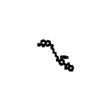 COc1cc(-c2nc3ccccc3s2)ccc1OCCCCCCOc1ccc2ccc(=O)oc2c1